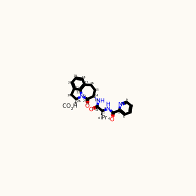 CC(C)[C@H](NC(=O)c1ccccn1)C(=O)N[C@H]1CCc2cccc3c2N(C1=O)[C@H](C(=O)O)C3